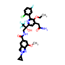 CCOc1c(CC(N)=O)cc([C@@](O)(CNC(=O)c2cc(OC)c3nn(C4CC4)cc3c2)C(F)(F)F)nc1-c1cc(F)ccc1Cl